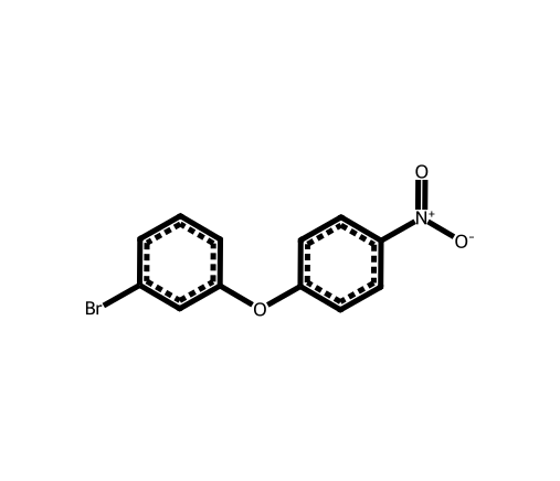 O=[N+]([O-])c1ccc(Oc2cccc(Br)c2)cc1